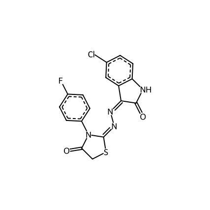 O=C1Nc2ccc(Cl)cc2C1=NN=C1SCC(=O)N1c1ccc(F)cc1